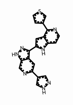 c1cc2[nH]c(-c3n[nH]c4cnc(-c5cn[nH]c5)cc34)cc2c(-c2ccsc2)n1